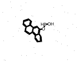 OBOc1cc2c3ccccc3ccc2c2ccccc12